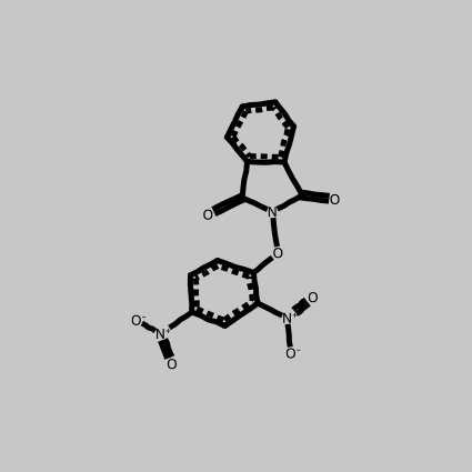 O=C1c2ccccc2C(=O)N1Oc1ccc([N+](=O)[O-])cc1[N+](=O)[O-]